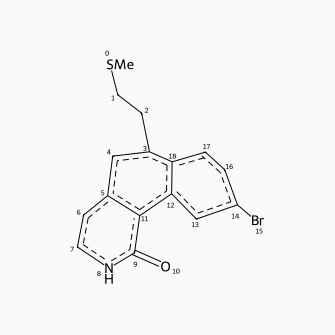 CSCCc1cc2cc[nH]c(=O)c2c2cc(Br)ccc12